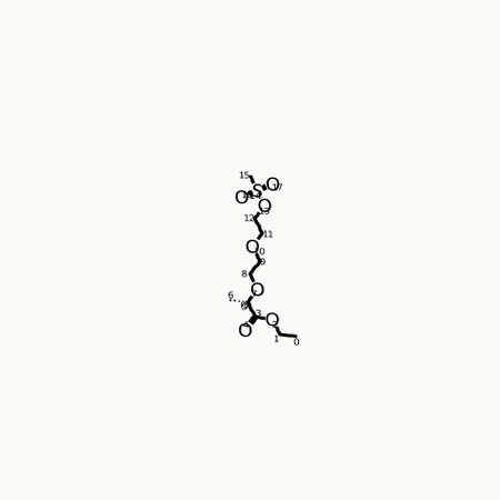 CCOC(=O)[C@H](C)OCCOCCOS(C)(=O)=O